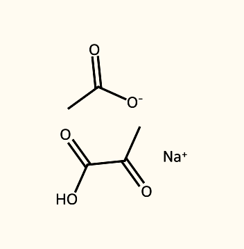 CC(=O)C(=O)O.CC(=O)[O-].[Na+]